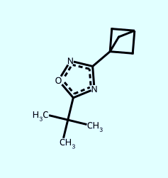 CC(C)(C)c1nc(C23CC(C2)C3)no1